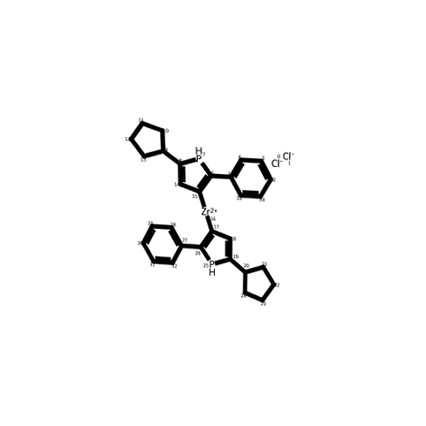 [Cl-].[Cl-].c1ccc(-c2[pH]c(C3CCCC3)c[c]2[Zr+2][c]2cc(C3CCCC3)[pH]c2-c2ccccc2)cc1